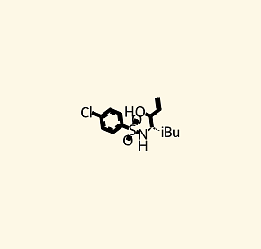 C=CC(O)[C@@H](NS(=O)(=O)c1ccc(Cl)cc1)[C@@H](C)CC